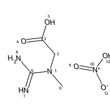 CN(CC(=O)O)C(=N)N.O=[N+]([O-])O